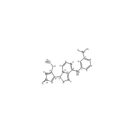 CN(C)c1cccc(NC2=NC=CN3C2=NCC3c2cn(C)nc2CO)c1